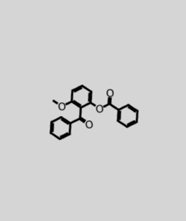 COc1cccc(OC(=O)c2ccccc2)c1C(=O)c1ccccc1